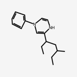 CCC(C)CC(CC)C1=CN(c2ccccc2)C=CN1